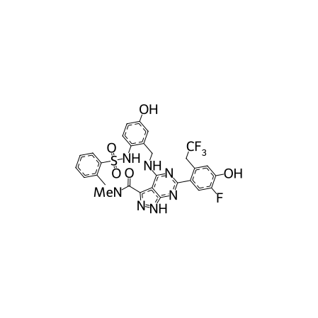 CNC(=O)c1n[nH]c2nc(-c3cc(F)c(O)cc3CC(F)(F)F)nc(NCc3cc(O)ccc3NS(=O)(=O)c3ccccc3C)c12